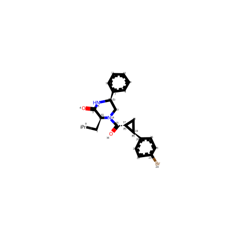 CC(C)C[C@H]1C(=O)N[C@@H](c2ccccc2)CN1C(=O)[C@@H]1C[C@H]1c1ccc(Br)cc1